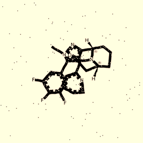 Cn1nc2c(c1-c1cc(F)c(F)c(F)c1)C[C@H]1CCC[C@@H]2N1C(=O)c1cnccn1